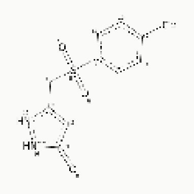 O=c1cc(CS(=O)(=O)c2ccc(Cl)cc2)[nH][nH]1